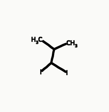 CC(C)C(I)I